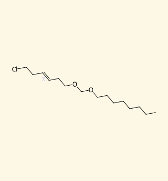 CCCCCCCCOCOCC/C=C/CCCl